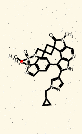 CCS(=O)(=O)N1CC2(C1)CC1(C2)C(=O)N(C)c2cnc3[nH]c(-c4cnn(CC5CC5)c4)c(-c4ccc5c(cnn5C)c4)c3c21